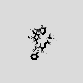 C=C1NC(=O)C=CN1[C@@H]1N[C@](F)(COP(=O)(NC(C)CCC(=O)OC(C)C)Oc2ccccc2)[C@@H](O)[C@]1(O)CC